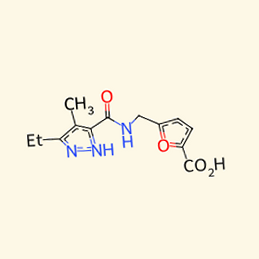 CCc1n[nH]c(C(=O)NCc2ccc(C(=O)O)o2)c1C